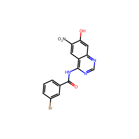 O=C(Nc1ncnc2cc(O)c([N+](=O)[O-])cc12)c1cccc(Br)c1